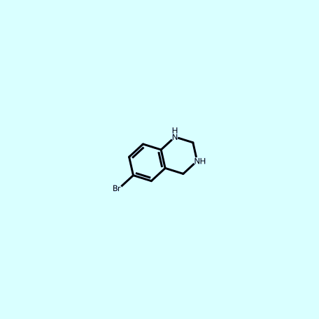 Brc1ccc2c(c1)CNCN2